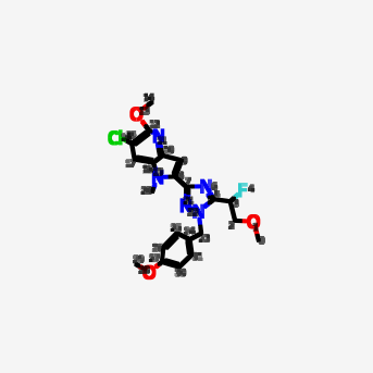 COCC(F)c1nc(-c2cc3nc(OC)c(Cl)cc3n2C)nn1Cc1ccc(OC)cc1